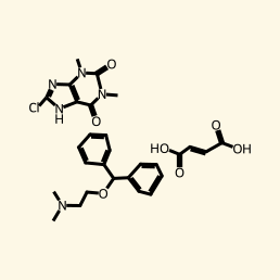 CN(C)CCOC(c1ccccc1)c1ccccc1.Cn1c(=O)c2[nH]c(Cl)nc2n(C)c1=O.O=C(O)/C=C/C(=O)O